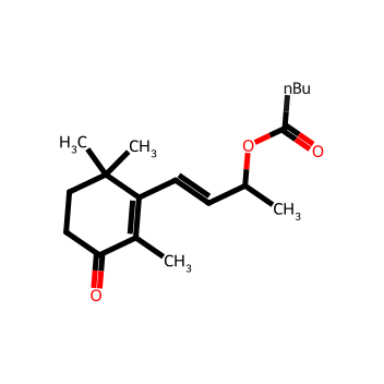 CCCCC(=O)OC(C)C=CC1=C(C)C(=O)CCC1(C)C